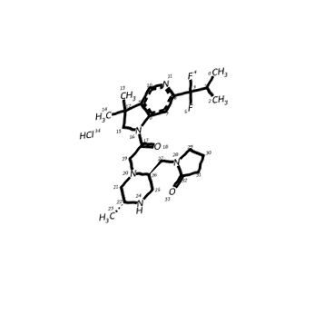 CC(C)C(F)(F)c1cc2c(cn1)C(C)(C)CN2C(=O)CN1C[C@@H](C)NC[C@@H]1CN1CCCC1=O.Cl